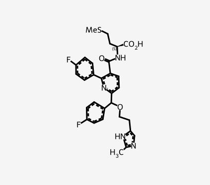 CSCC[C@H](NC(=O)c1ccc(C(OCCc2cnc(C)[nH]2)c2ccc(F)cc2)nc1-c1ccc(F)cc1)C(=O)O